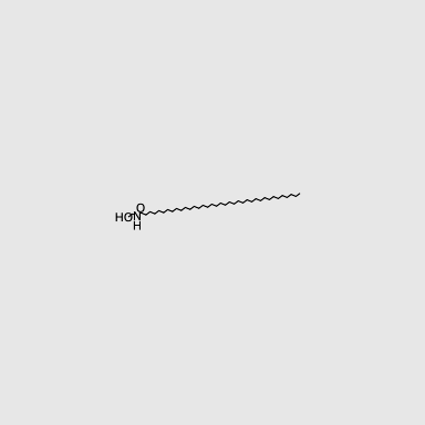 CCCCCCCCCCCCCCCCCCCCCCCCCCCCCCCCCCCCC(=O)NCO